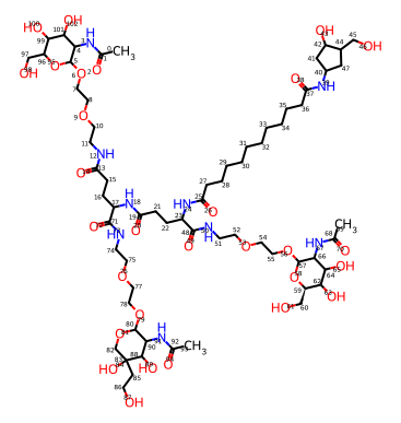 CC(=O)NC1C(OCCOCCNC(=O)CCC(NC(=O)CCC(NC(=O)CCCCCCCCCCC(=O)NC2CC(O)C(CO)C2)C(=O)NCCOCCOC2O[C@H](CO)C(O)C(O)C2NC(C)=O)C(=O)NCCOCCOC2OCC(O)(CCO)C(O)C2NC(C)=O)OC(CO)C(O)C1O